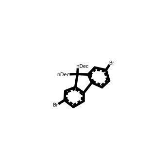 CCCCCCCCCCC1(CCCCCCCCCC)c2cc(Br)ccc2-c2ccc(Br)cc21